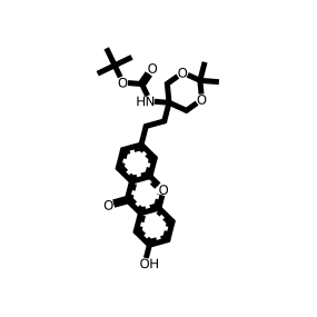 CC(C)(C)OC(=O)NC1(CCc2ccc3c(=O)c4cc(O)ccc4oc3c2)COC(C)(C)OC1